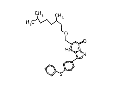 CC(C)CCCC(C)CCOCc1cc(=O)n2ncc(-c3ccc(Sc4ccccc4)cc3)c2[nH]1